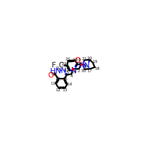 O=C(CCCc1n[nH]c(=O)c2ccccc12)N1C2CCC1CN(c1ccc(C(F)(F)F)cn1)C2